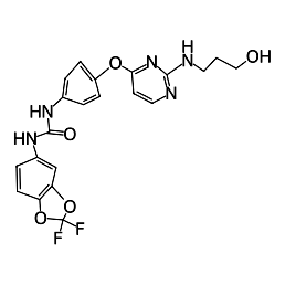 O=C(Nc1ccc(Oc2ccnc(NCCCO)n2)cc1)Nc1ccc2c(c1)OC(F)(F)O2